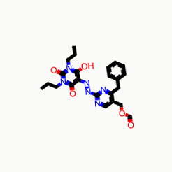 CCCn1c(O)c(N=Nc2ncc(COC=O)c(Cc3ccccc3)n2)c(=O)n(CCC)c1=O